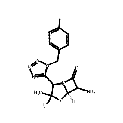 CC1(C)S[C@@H]2C(N)C(=O)N2C1c1nnnn1Cc1ccc(I)cc1